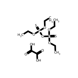 CCOP(=S)(OCC)OP(=S)(OCC)OCC.O=C(O)C(=O)O